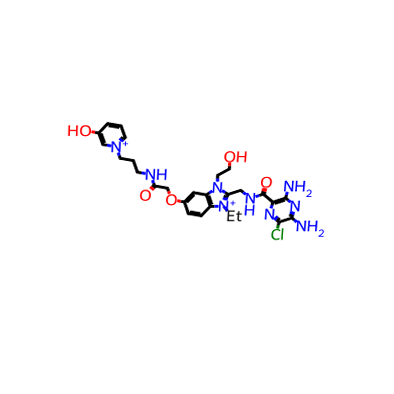 CC[n+]1c(CNC(=O)c2nc(Cl)c(N)nc2N)n(CCO)c2cc(OCC(=O)NCCC[n+]3cccc(O)c3)ccc21